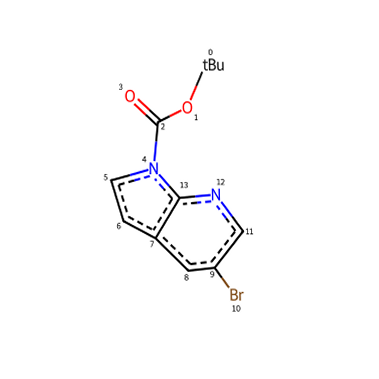 CC(C)(C)OC(=O)n1ccc2cc(Br)cnc21